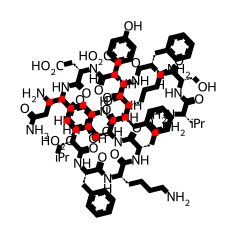 CC(C)C[C@H](NC(=O)[C@H](CCCCN)NC(=O)[C@H](Cc1ccccc1)NC(=O)[C@H](Cc1ccc(O)cc1)NC(=O)[C@H](Cc1ccccc1)NC(=O)[C@H](CO)NC(=O)[C@@H](N)C(C)C)C(=O)N[C@@H](Cc1ccccc1)C(=O)N[C@@H](CCCCN)C(=O)N[C@@H](CC(N)=O)C(=O)N[C@@H](Cc1ccccc1)C(=O)N[C@@H](CCCCN)C(=O)N[C@@H](CC(=O)O)C(=O)N[C@@H](CC(=O)O)C(=O)N[C@@H](CCC(N)=O)C(=O)N[C@@H](CO)C(=O)O